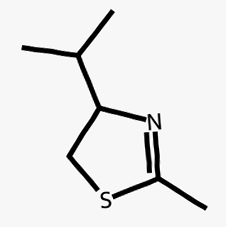 CC1=NC(C(C)C)CS1